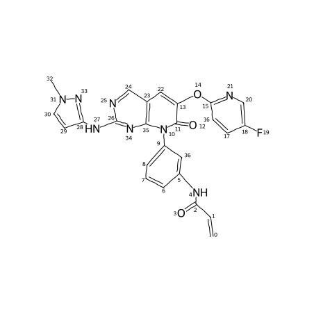 C=CC(=O)Nc1cccc(-n2c(=O)c(Oc3ccc(F)cn3)cc3cnc(Nc4ccn(C)n4)nc32)c1